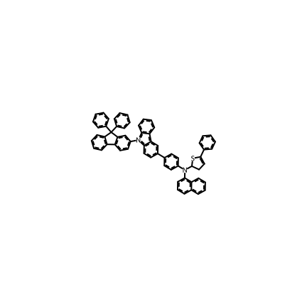 C1=C(c2ccccc2)SC(N(c2ccc(-c3ccc4c(c3)c3ccccc3n4-c3ccc4c(c3)C(c3ccccc3)(c3ccccc3)c3ccccc3-4)cc2)c2cccc3ccccc23)C1